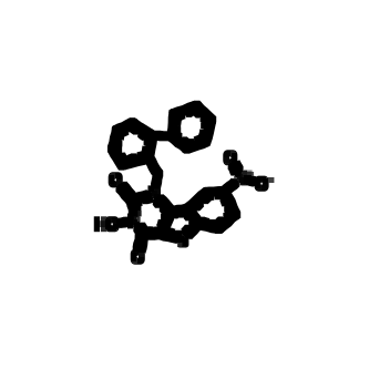 O=c1c2sc3ccc([N+](=O)[O-])cc3c2n(Cc2ccccc2-c2ccccc2)c(=O)n1O